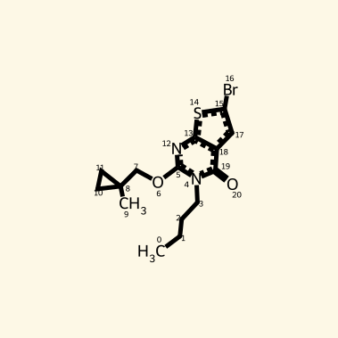 CCCCn1c(OCC2(C)CC2)nc2sc(Br)cc2c1=O